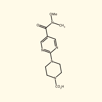 CON(C)C(=O)c1cnc(N2CCN(C(=O)O)CC2)nc1